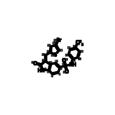 O=C1Nc2ccc(S(=O)(=O)Nc3ccc(C(F)(F)F)cc3)cc2C1=Cc1cc(Br)cs1